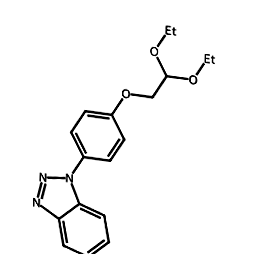 CCOC(COc1ccc(-n2nnc3ccccc32)cc1)OCC